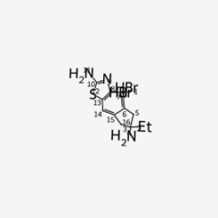 Br.Br.CCC1(N)Cc2cc3nc(N)sc3cc2C1